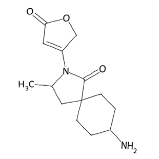 CC1CC2(CCC(N)CC2)C(=O)N1C1=CC(=O)OC1